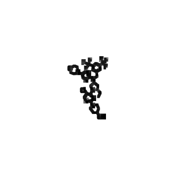 CC[C@@H]1C[C@H](N(Cc2cc(C(F)(F)F)cc(C(F)(F)F)c2)c2ncc(N3CCOCC3)cn2)CN1c1nc(N2CCC(O)CC2)ncc1Cl